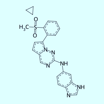 C1CC1.CS(=O)(=O)c1ccccc1-c1ccc2cnc(Nc3ccc4nc[nH]c4c3)nn12